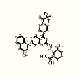 CC1CCCN(C(C)C)[C@@H]1COc1nc2c(c(N3CCN(C(=O)C(F)(F)F)CC3)n1)CCN(c1cc(O)cc3ccccc13)C2